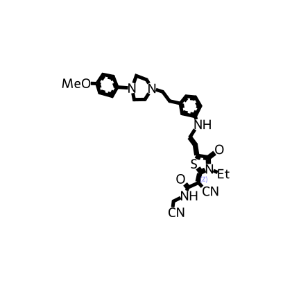 CCn1c(=O)c(=C=CNc2cccc(CCN3CCN(c4ccc(OC)cc4)CC3)c2)s/c1=C(/C#N)C(=O)NCC#N